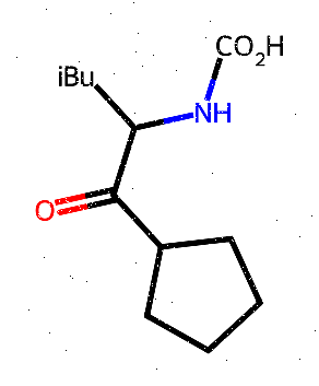 CCC(C)C(NC(=O)O)C(=O)C1CCCC1